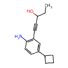 CCC(O)C#Cc1cc(C2CCC2)ccc1N